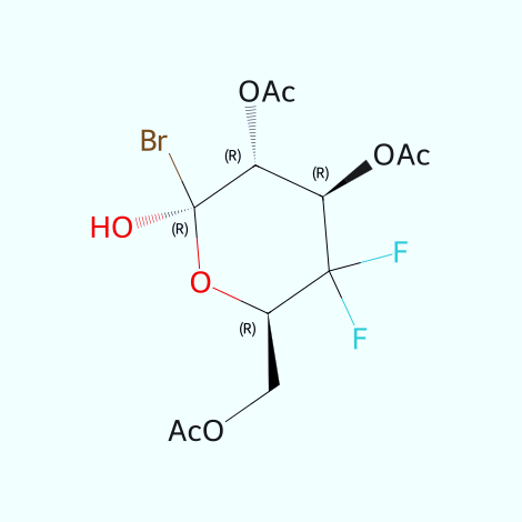 CC(=O)OC[C@H]1O[C@@](O)(Br)[C@H](OC(C)=O)[C@@H](OC(C)=O)C1(F)F